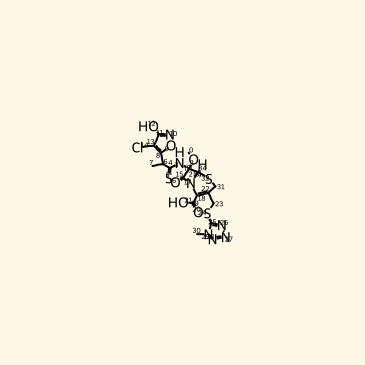 CO[C@@]1(NC(=S)C(C)c2onc(O)c2Cl)C(=O)N2C(C(=O)O)=C(CSc3nnnn3C)CS[C@H]21